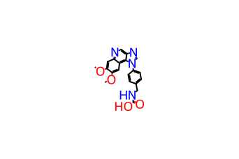 COc1cc2ncc3ncn(-c4ccc(CNC(=O)O)cc4)c3c2cc1OC